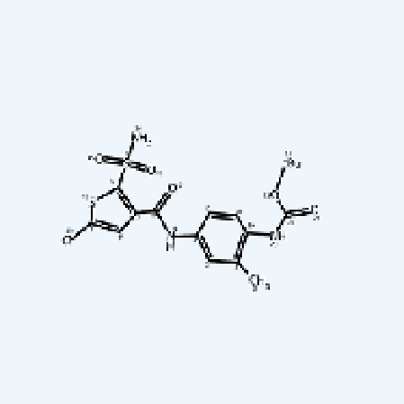 Cc1cc(NC(=O)c2cc(Cl)sc2S(N)(=O)=O)ccc1NC(=O)OC(C)(C)C